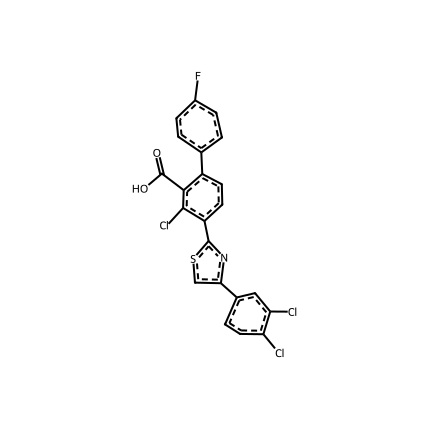 O=C(O)c1c(-c2ccc(F)cc2)ccc(-c2nc(-c3ccc(Cl)c(Cl)c3)cs2)c1Cl